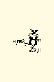 CC1(C)O[C@H]2[C@H](CN(C(=O)O)[C@@H]2CON)O1